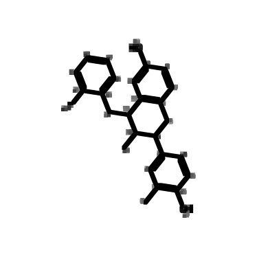 Cc1cc(C2Cc3ccc(O)cc3C(Cc3ccccc3F)C2C)ccc1O